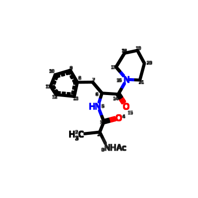 CC(=O)NC(C)C(=O)NC(Cc1ccccc1)C(=O)N1CCCCC1